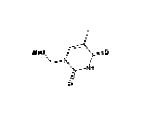 COCn1cc(F)c(=O)[nH]c1=O